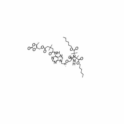 CCCCCCOC(=O)C(C)(C)N1C(C)(C(=O)OCCCCCC)NP1(=O)CO[C@H](C)Cn1cnc2c(NC(=O)CC(C)(C)CC(=O)OCc3oc(=O)oc3C)ncnc21